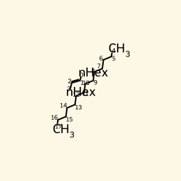 CCCCCC/C=C/CCCCCC.CCCCCCCCCCCCCC